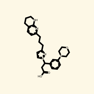 O=C(O)CC(c1cccc(N2CCOCC2)c1)n1ccc(CCCc2ccc3c(n2)NCCC3)n1